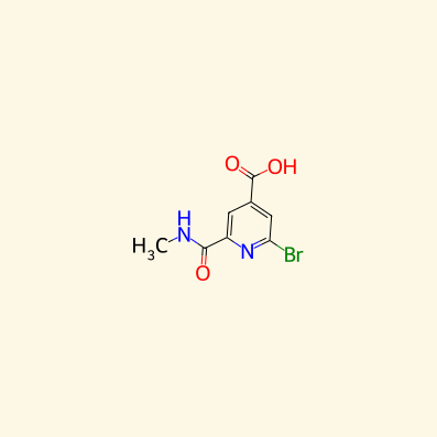 CNC(=O)c1cc(C(=O)O)cc(Br)n1